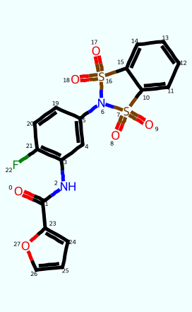 O=C(Nc1cc(N2S(=O)(=O)c3ccccc3S2(=O)=O)ccc1F)c1ccco1